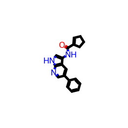 O=C(Nc1c[nH]c2ncc(-c3ccccc3)cc12)C1=CCCC1